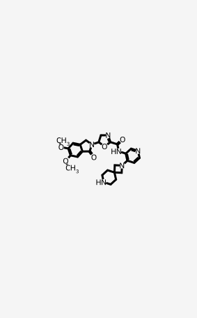 COc1cc2c(cc1OC)C(=O)N(C1CN=C(C(=O)Nc3cnccc3N3CC4(CCNCC4)C3)O1)C2